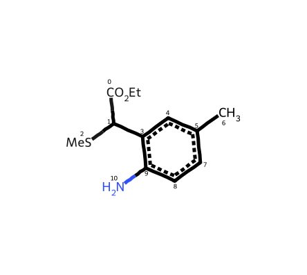 CCOC(=O)C(SC)c1cc(C)ccc1N